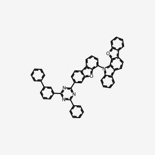 c1ccc(-c2cccc(-c3nc(-c4ccccc4)nc(-c4ccc5c(c4)oc4c(-n6c7ccccc7c7ccc8c9ccccc9oc8c76)cccc45)n3)c2)cc1